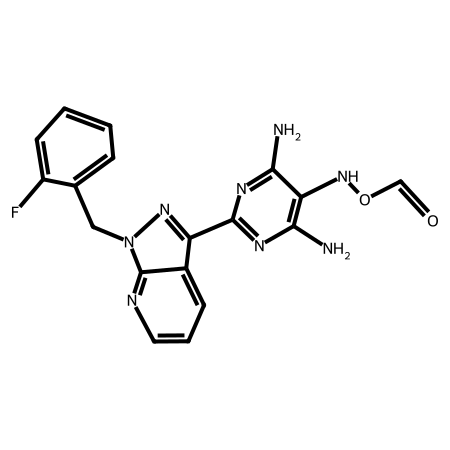 Nc1nc(-c2nn(Cc3ccccc3F)c3ncccc23)nc(N)c1NOC=O